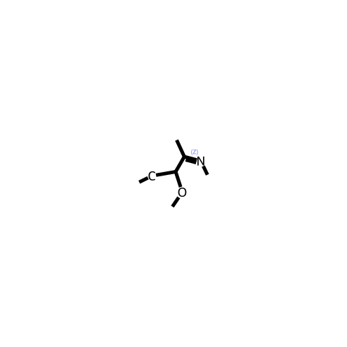 CCC(OC)/C(C)=N\C